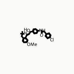 COc1ccc2c(c1)/C(=C/C(=O)c1ccc(NC(=O)Cc3ccc(Cl)cc3)cc1)NC(C)(C)C2